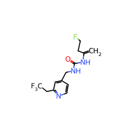 C=C(CCF)NC(=O)NCc1ccnc(CC(F)(F)F)c1